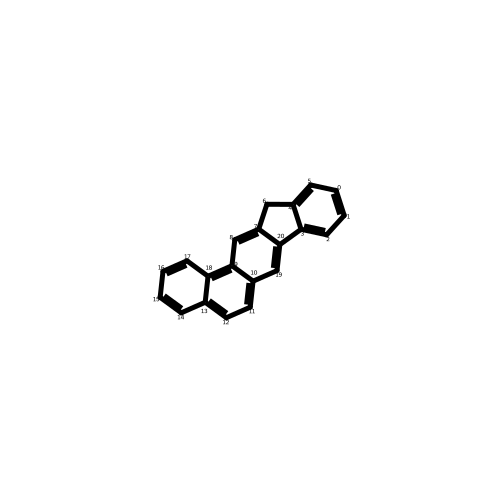 c1ccc2c(c1)Cc1cc3c(ccc4ccccc43)cc1-2